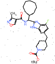 Cc1nocc1C(=O)NC(c1nc2c(F)cc(CC3CCN(C(=O)OC(C)(C)C)CC3)cc2[nH]1)C1CCCCCCC1